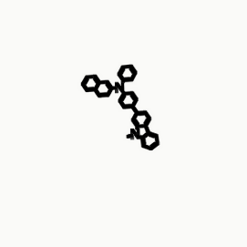 Cn1c2ccccc2c2ccc(-c3ccc(N(c4ccccc4)c4ccc5ccccc5c4)cc3)cc21